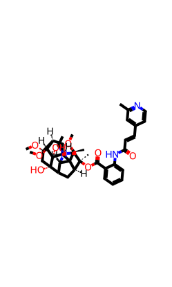 CCN1C[C@@](C)(OC(=O)c2ccccc2NC(=O)/C=C/c2ccnc(C)c2)[C@H]2CC3[C@H]1C2([C@H](C)OC)[C@@H]1C[C@@H]2[C@@H](OC)C[C@@]3(O)[C@@]1(O)[C@H]2OC